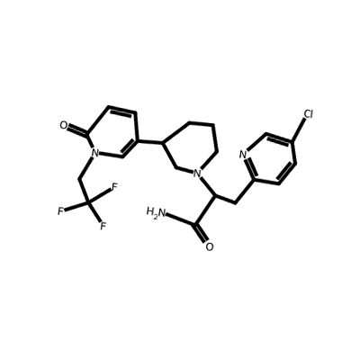 NC(=O)C(Cc1ccc(Cl)cn1)N1CCCC(c2ccc(=O)n(CC(F)(F)F)c2)C1